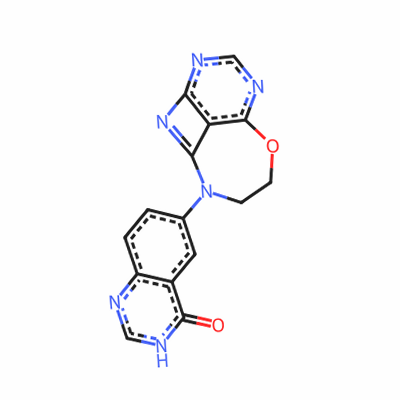 O=c1[nH]cnc2ccc(N3CCOc4ncnc5c4C3=N5)cc12